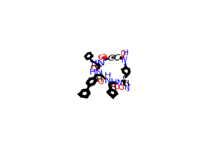 CN(C)C(=O)[C@@H]1Cc2ccc(cc2)NC(=O)CCC(=O)N[C@H](CCc2ccccc2)C(=O)N[C@@H](Cc2ccc(-c3ccccc3)cc2)C(=O)N[C@H](Cc2ccccc2)C(=O)N1